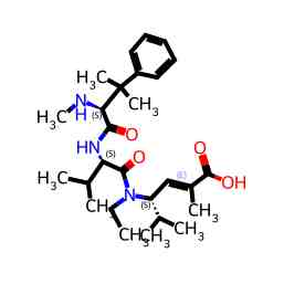 CCN(C(=O)[C@@H](NC(=O)[C@@H](NC)C(C)(C)c1ccccc1)C(C)C)[C@H](/C=C(\C)C(=O)O)C(C)C